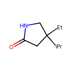 CCC1(C(C)C)CNC(=O)C1